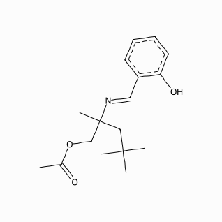 CC(=O)OCC(C)(CC(C)(C)C)/N=C/c1ccccc1O